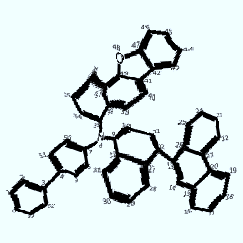 c1ccc(-c2ccc(N(c3ccc(-c4cc5ccccc5c5ccccc45)c4ccccc34)c3cccc4c3ccc3c5ccccc5oc43)cc2)cc1